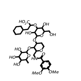 COc1ccc(C(=O)NCC2OCCC(OC3OC(CO)C(O)C(OC(CC4CCCCC4)C(=O)O)C3O)C2OC2OC(C)C(O)C(O)C2O)cc1OC